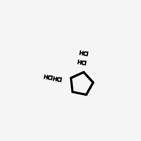 C1CCCC1.Cl.Cl.Cl.Cl